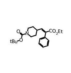 CCOC(=O)C(=CC1CCN(C(=O)OC(C)(C)C)CC1)c1ccccc1